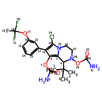 CC(C)(C)C1c2c(OC(N)=O)c(-c3cccc(OC(F)(F)F)c3)c(Cl)n2CCN1OC(N)=O